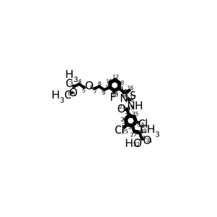 COC(C)CCOCCCc1cccc(-c2csc(NC(=O)c3cc(Cl)c(/C=C(\C)C(=O)O)c(Cl)c3)n2)c1F